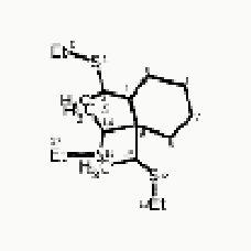 CCSC(C)C1CCCCC1(C(C)SCC)C(C)SCC